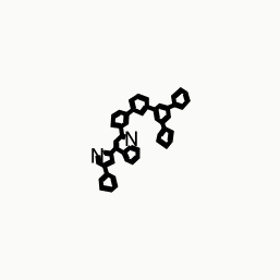 c1ccc(-c2cc(-c3ccccc3)cc(-c3cccc(-c4cccc(-c5cc(-c6cncc(-c7ccccc7)c6)c6ccccc6n5)c4)c3)c2)cc1